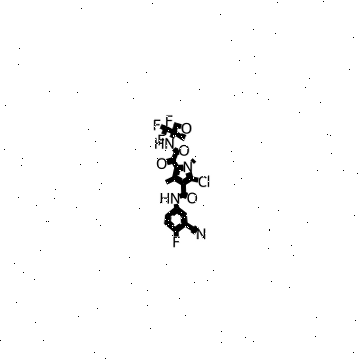 Cc1c(C(=O)Nc2ccc(F)c(C#N)c2)c(Cl)n(C)c1C(=O)C(=O)NC1(C(F)(F)F)COC1